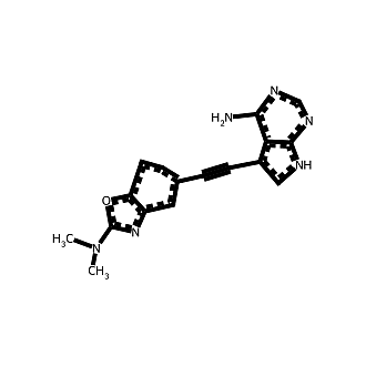 CN(C)c1nc2cc(C#Cc3c[nH]c4ncnc(N)c34)ccc2o1